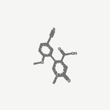 COc1ccc(C#N)cc1-c1cn(C)c(=O)cc1C(=O)O